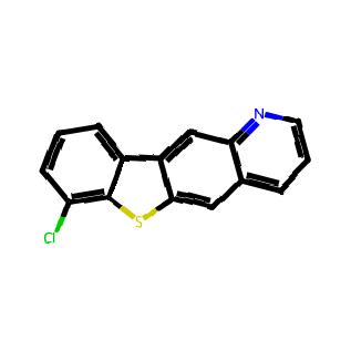 Clc1cccc2c1sc1cc3cccnc3cc12